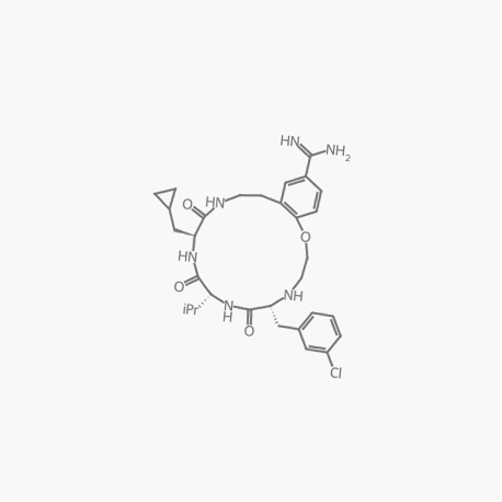 CC(C)[C@H]1NC(=O)[C@@H](Cc2cccc(Cl)c2)NCCOc2ccc(C(=N)N)cc2CCNC(=O)[C@H](CC2CC2)NC1=O